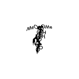 COc1cc(OC)nc(NC(=O)NS(=O)(=O)c2c(C)ccnc2CC(C)OC(=O)COCF)n1